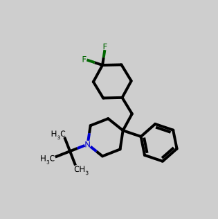 CC(C)(C)N1CCC(CC2CCC(F)(F)CC2)(c2ccccc2)CC1